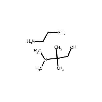 CN(C)C(C)(C)CO.NCCN